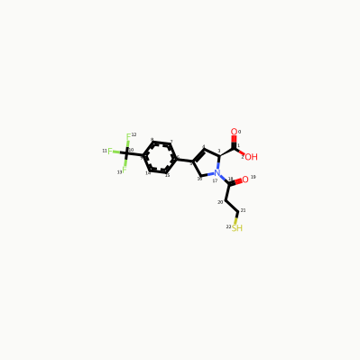 O=C(O)[C@@H]1C=C(c2ccc(C(F)(F)F)cc2)CN1C(=O)CCS